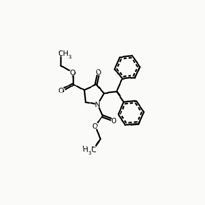 CCOC(=O)C1CN(C(=O)OCC)C(C(c2ccccc2)c2ccccc2)C1=O